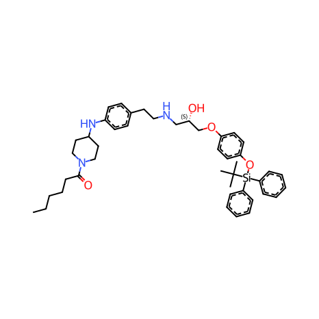 CCCCCC(=O)N1CCC(Nc2ccc(CCNC[C@H](O)COc3ccc(O[Si](c4ccccc4)(c4ccccc4)C(C)(C)C)cc3)cc2)CC1